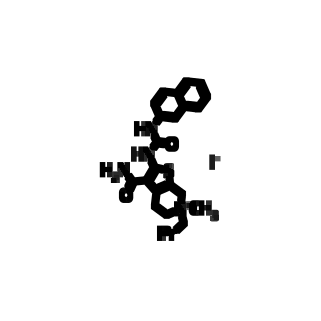 CC(C)C[N+]1(C)CCc2c(sc(NC(=O)Nc3ccc4ccccc4c3)c2C(N)=O)C1.[I-]